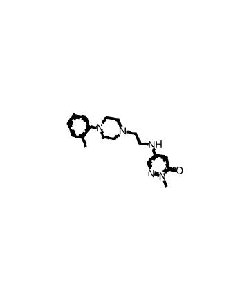 Cc1ccccc1N1CCN(CCNc2cnn(C)c(=O)c2)CC1